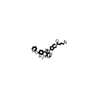 CN(C)C/C=C/C(=O)N1CC2CC(n3nc(-c4ccc(Oc5ccccn5)cc4)c4c(N)ncnc43)CC2C1